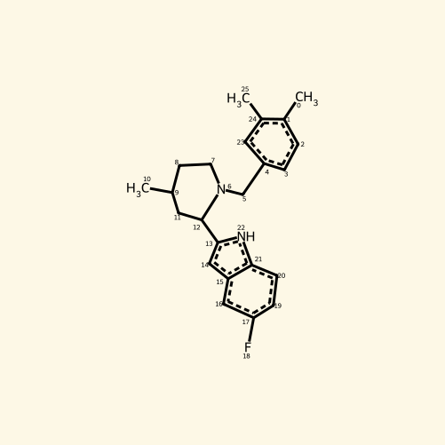 Cc1ccc(CN2CCC(C)CC2c2cc3cc(F)ccc3[nH]2)cc1C